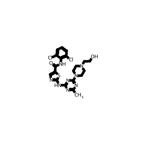 Cc1nc(Nc2ncc(C(=O)Nc3c(Cl)cccc3Cl)s2)nc(N2CCN(CCO)CC2)n1